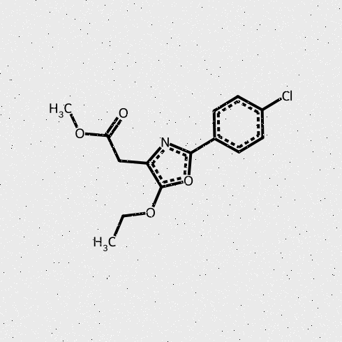 CCOc1oc(-c2ccc(Cl)cc2)nc1CC(=O)OC